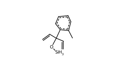 C=CC(C=C)(O[SiH3])c1ccccc1C